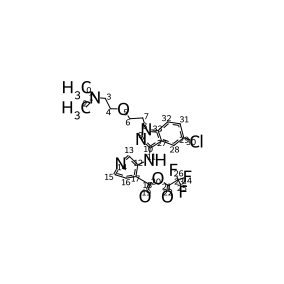 CN(C)CCOCCn1nc(Nc2cnccc2C(=O)OC(=O)C(F)(F)F)c2cc(Cl)ccc21